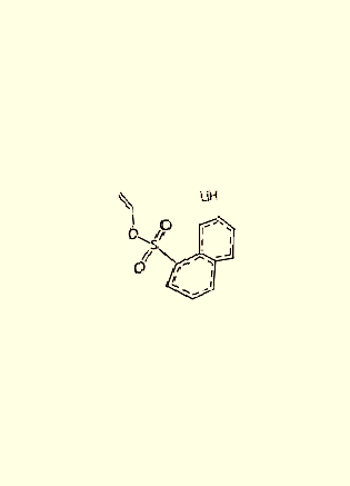 C=COS(=O)(=O)c1cccc2ccccc12.[LiH]